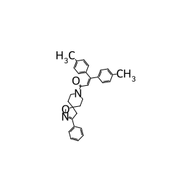 Cc1ccc(C(=CC(=O)N2CCC3(CC2)CC(c2ccccc2)=NO3)c2ccc(C)cc2)cc1